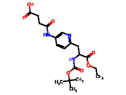 CCOC(=O)C(Cc1ccc(NC(=O)CCC(=O)O)cn1)NC(=O)OC(C)(C)C